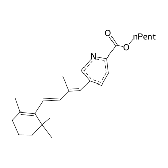 CCCCCOC(=O)c1ccc(/C=C(\C)C=CC2=C(C)CCCC2(C)C)cn1